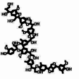 COc1cc(C2Oc3c(OC)cc(C(O)C(CO)Oc4ccc(C(O)C(CO)Oc5ccc(C6OCC7C(c8cc(C)c(O)c(OC)c8)OCC67)cc5C)cc4C)cc3-c3cc(C(O)C(CO)Oc4ccc(C(O)C(CO)Oc5ccc(C6Oc7c(OC)cc(C(O)C(C)CO)cc7C6CO)cc5OC)cc4OC)cc(C)c3OC2CO)ccc1O